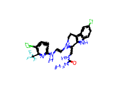 NC(=O)NCC1c2[nH]c3ccc(Cl)cc3c2CCN1CCNc1ccc(Cl)c(C(F)(F)F)n1